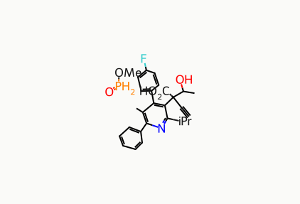 C#CC(C(=O)O)(c1c(C(C)C)nc(-c2ccccc2)c(C)c1-c1ccc(F)cc1)C(C)O.CO[PH2]=O